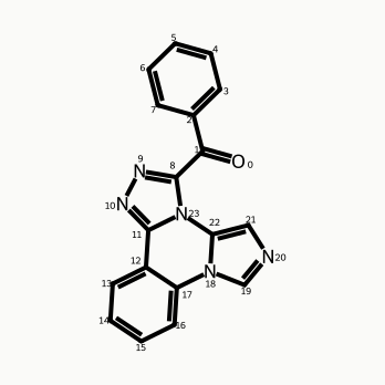 O=C(c1ccccc1)c1nnc2c3ccccc3n3cncc3n12